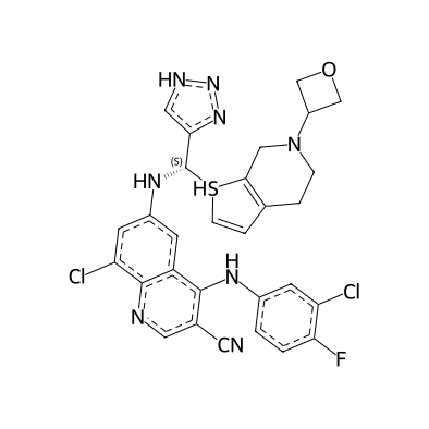 N#Cc1cnc2c(Cl)cc(N[C@H](c3c[nH]nn3)[SH]3C=CC4=C3CN(C3COC3)CC4)cc2c1Nc1ccc(F)c(Cl)c1